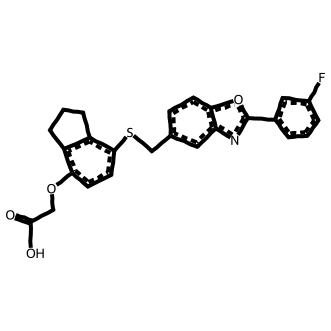 O=C(O)COc1ccc(SCc2ccc3oc(-c4cccc(F)c4)nc3c2)c2c1CCC2